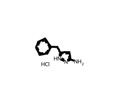 Cl.Nc1cc(Cc2ccccc2)[nH]n1